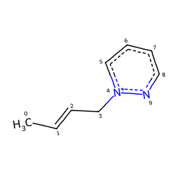 CC=CC[n+]1ccccn1